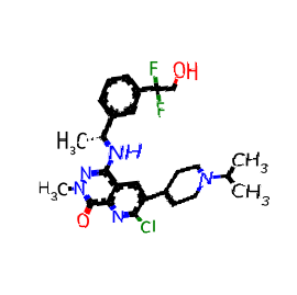 CC(C)N1CCC(c2cc3c(N[C@H](C)c4cccc(C(F)(F)CO)c4)nn(C)c(=O)c3nc2Cl)CC1